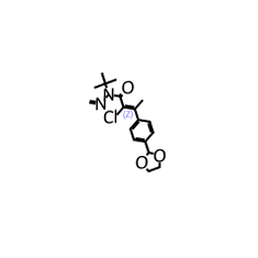 C=NN(C(=O)/C(Cl)=C(\C)c1ccc(C2OCCO2)cc1)C(C)(C)C